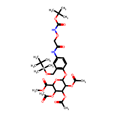 COC(=O)C1OC(Oc2ccc(NC(=O)CONC(=O)OC(C)(C)C)cc2CO[Si](C)(C)C(C)(C)C)C(OC(C)=O)C(OC(C)=O)C1OC(C)=O